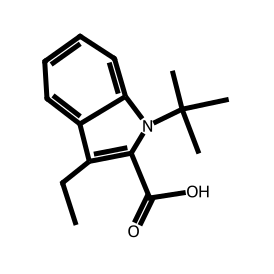 CCc1c(C(=O)O)n(C(C)(C)C)c2ccccc12